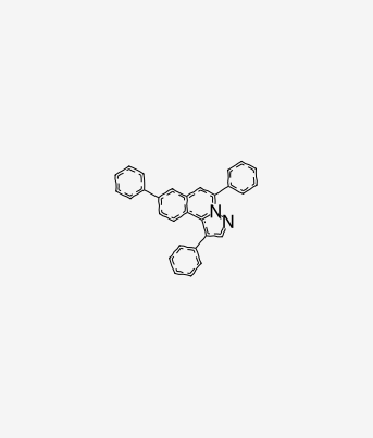 c1ccc(-c2ccc3c(c2)cc(-c2ccccc2)n2ncc(-c4ccccc4)c32)cc1